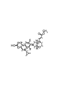 COC(=O)C=CN1CCO[C@H]2CN(c3c(F)cc4c(=O)c(OC(=O)O)cn(C5CC5)c4c3F)C[C@H]21